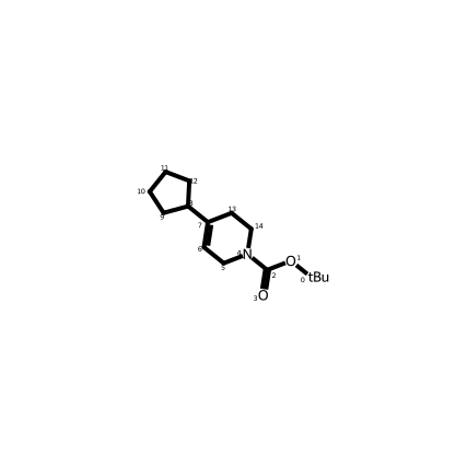 CC(C)(C)OC(=O)N1CC=C(C2CCCC2)CC1